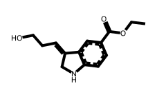 CCOC(=O)c1ccc2c(c1)C(=CCCO)CN2